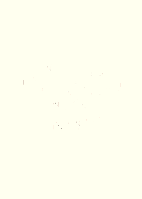 CCOc1nc(N)c2nc(-c3cncc(F)c3)n(Cc3ccc(O)cc3)c2n1